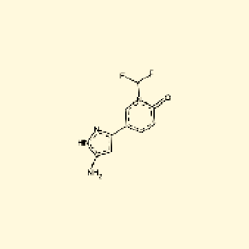 Nc1cc(-c2ccc(=O)n(C(F)F)c2)n[nH]1